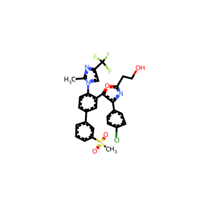 Cc1nc(C(F)(F)F)cn1-c1ccc(-c2cccc(S(C)(=O)=O)c2)cc1-c1oc(CCO)nc1-c1ccc(Cl)cc1